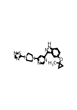 CC1(Oc2ccc3[nH]nc(-c4cc(N5CCN(c6ncns6)CC5)ncn4)c3c2)CC1